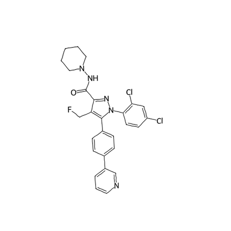 O=C(NN1CCCCC1)c1nn(-c2ccc(Cl)cc2Cl)c(-c2ccc(-c3cccnc3)cc2)c1CF